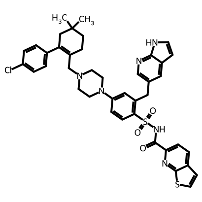 CC1(C)CCC(CN2CCN(c3ccc(S(=O)(=O)NC(=O)c4ccc5ccsc5n4)c(Cc4cnc5[nH]ccc5c4)c3)CC2)=C(c2ccc(Cl)cc2)C1